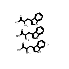 NC(Cc1c[nH]c2ccccc12)C(=O)O.NC(Cc1c[nH]c2ccccc12)C(=O)O.NC(Cc1c[nH]c2ccccc12)C(=O)O.[Cr]